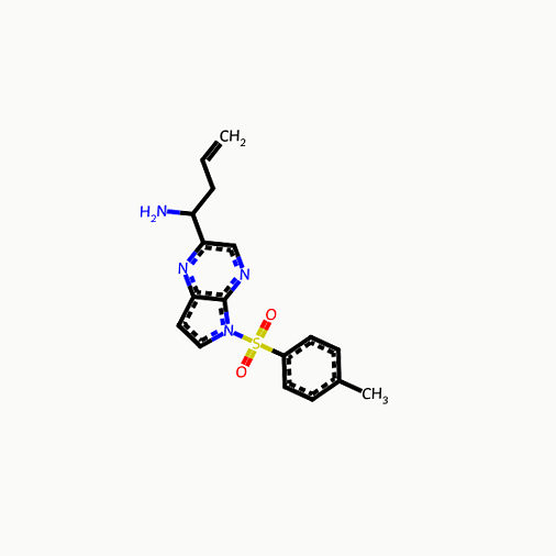 C=CCC(N)c1cnc2c(ccn2S(=O)(=O)c2ccc(C)cc2)n1